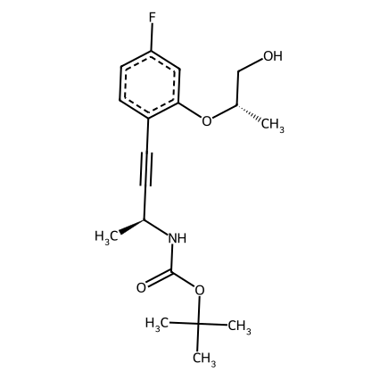 C[C@@H](C#Cc1ccc(F)cc1O[C@@H](C)CO)NC(=O)OC(C)(C)C